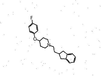 Fc1ccc(OC2CCN(CCC3Cc4ccccc4C3)CC2)cc1